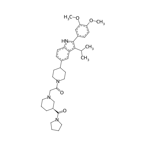 COc1ccc(-c2[nH]c3ccc(C4CCN(C(=O)CN5CCC[C@H](C(=O)N6CCCC6)C5)CC4)cc3c2C(C)C)cc1OC